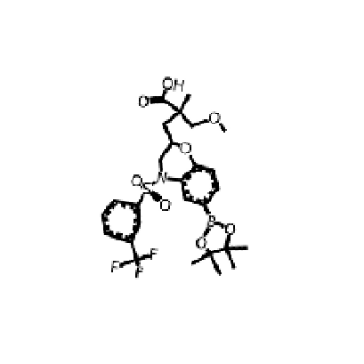 COCC(C)(CC1CN(S(=O)(=O)c2cccc(C(F)(F)F)c2)c2cc(B3OC(C)(C)C(C)(C)O3)ccc2O1)C(=O)O